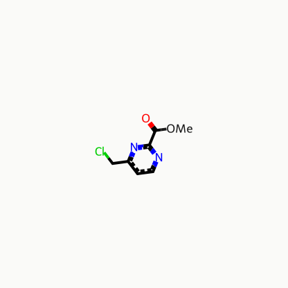 COC(=O)c1nccc(CCl)n1